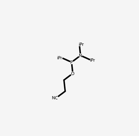 CC(C)N(C(C)C)P(OCCC#N)C(C)C